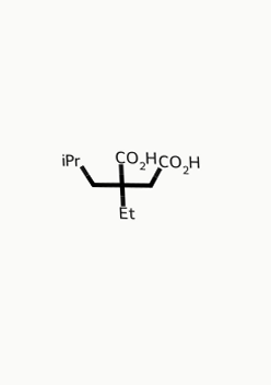 CCC(CC(=O)O)(CC(C)C)C(=O)O